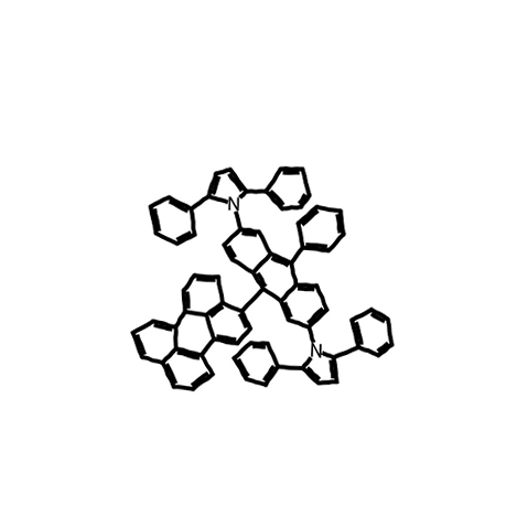 c1ccc(-c2c3cc(-n4c(-c5ccccc5)ccc4-c4ccccc4)ccc3c(-c3ccc4c5cccc6cccc(c7cccc3c74)c65)c3cc(-n4c(-c5ccccc5)ccc4-c4ccccc4)ccc23)cc1